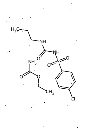 CCCNC(=O)NS(=O)(=O)c1ccc(Cl)cc1.CCOC(N)=O